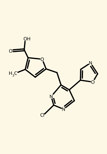 Cc1cc(Cc2nc(Cl)ncc2-c2cnco2)oc1C(=O)O